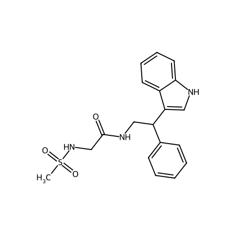 CS(=O)(=O)NCC(=O)NCC(c1ccccc1)c1c[nH]c2ccccc12